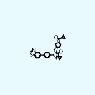 O=C(C1CC1)N1CC[C@@H](CN2C(=O)C3(CC3)N=C2c2ccc(-c3ccc4scnc4c3)cc2)C1